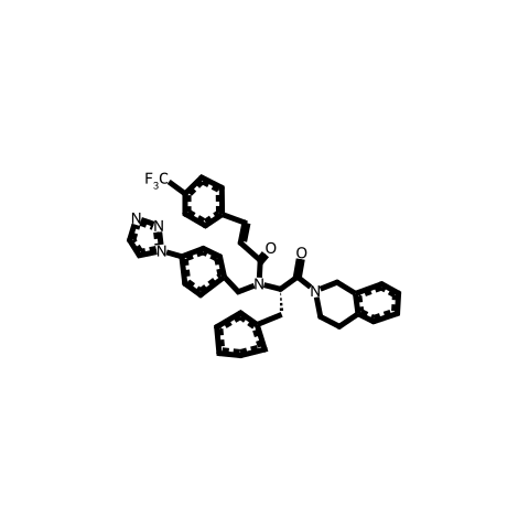 O=C([C@H](Cc1ccccc1)N(Cc1ccc(-n2ccnn2)cc1)C(=O)/C=C/c1ccc(C(F)(F)F)cc1)N1CCc2ccccc2C1